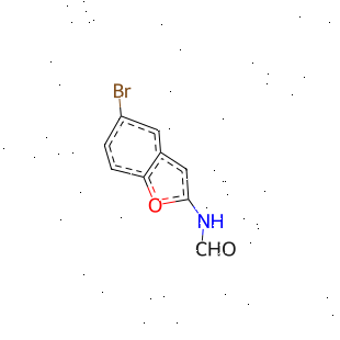 O=CNc1cc2cc(Br)ccc2o1